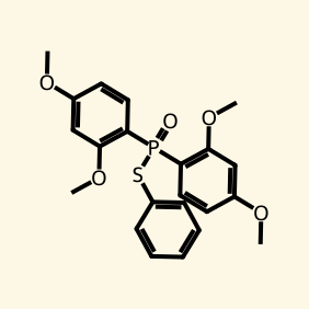 COc1ccc(P(=O)(Sc2ccccc2)c2ccc(OC)cc2OC)c(OC)c1